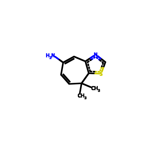 CC1(C)C=CC(N)=Cc2ncsc21